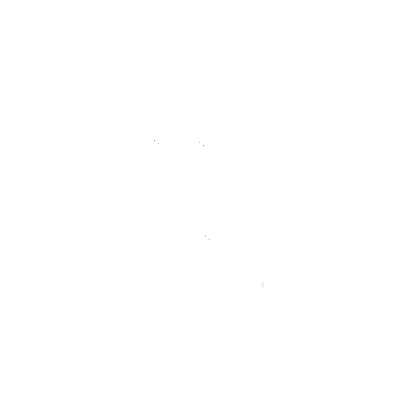 CC(=N)NCCC/C=C(/C)C(C)(N)C(=O)O